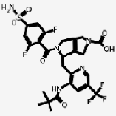 CC(C)(C)C(=O)Nc1cc(C(F)(F)F)cnc1[CH]C1C2=C(CN(C(=O)O)C2)CN1C(=O)c1c(F)cc(S(N)(=O)=O)cc1F